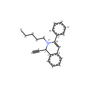 C#CC1c2ccccc2C=C(c2ccccc2)N1CCCCC